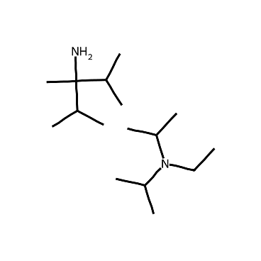 CC(C)C(C)(N)C(C)C.CCN(C(C)C)C(C)C